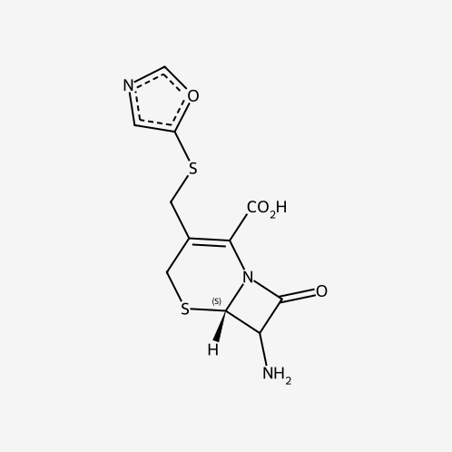 NC1C(=O)N2C(C(=O)O)=C(CSc3cnco3)CS[C@@H]12